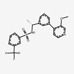 COc1cnccc1-c1cccc([C@@H](C)NS(=O)(=O)c2cccc(C(F)(F)F)c2)c1